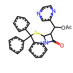 CC(=O)OC(c1cnccn1)C1C(=O)NC1SC(c1ccccc1)(c1ccccc1)c1ccccc1